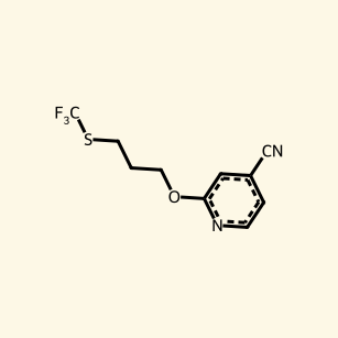 N#Cc1ccnc(OCCCSC(F)(F)F)c1